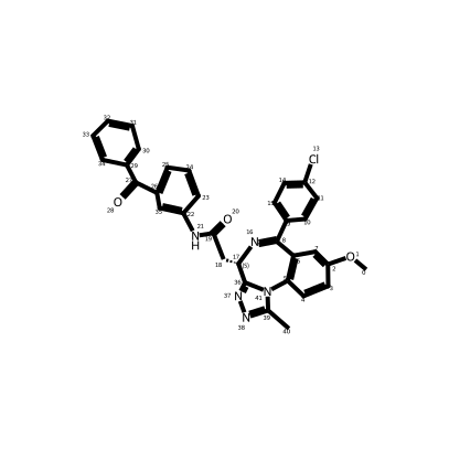 COc1ccc2c(c1)C(c1ccc(Cl)cc1)=N[C@@H](CC(=O)Nc1cccc(C(=O)c3ccccc3)c1)c1nnc(C)n1-2